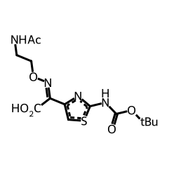 CC(=O)NCCO/N=C(\C(=O)O)c1csc(NC(=O)OC(C)(C)C)n1